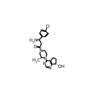 C[C@H]1CN(C(=O)CC(N)c2ccc(Cl)cc2)CCN1c1ncnc2c1CC[C@@H]2O